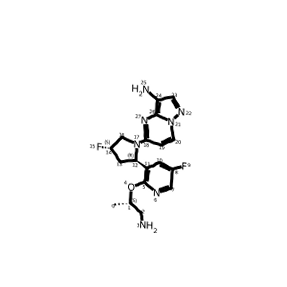 C[C@@H](CN)Oc1ncc(F)cc1[C@H]1C[C@H](F)CN1c1ccn2ncc(N)c2n1